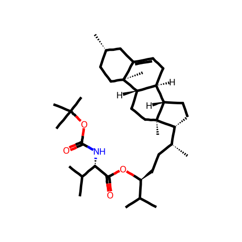 CC(C)[C@H](CC[C@@H](C)[C@H]1CC[C@H]2[C@@H]3CC=C4C[C@@H](C)CC[C@]4(C)[C@H]3CC[C@]12C)OC(=O)[C@@H](NC(=O)OC(C)(C)C)C(C)C